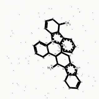 CC1CC=Cc2c1c1ccccc1n2C1=CC=CCC1C1C(C)Cc2oc3c(c2C1N)CCC=C3